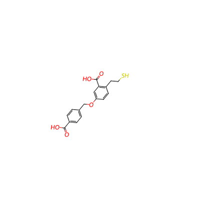 O=C(O)c1ccc(COc2ccc(CCS)c(C(=O)O)c2)cc1